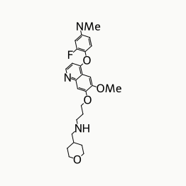 CNc1ccc(Oc2ccnc3cc(OCCCNCC4CCOCC4)c(OC)cc23)c(F)c1